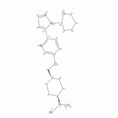 CC(=O)N(C)[C@H]1CC[C@@H](COc2ccc(-c3ccnn3C3CCCCO3)nc2)CC1